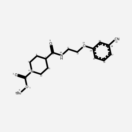 CC(C)(C)OC(=O)N1CCC(C(=O)NCCOc2cccc(C#N)c2)CC1